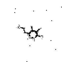 Cc1c(Cl)nnc(CCO)c1C